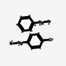 Clc1cc[c]([Mg][Br])cc1.[Br][Mg][c]1ccccc1